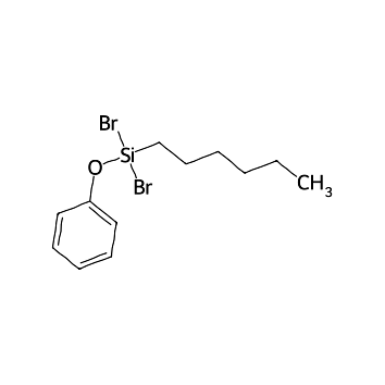 CCCCCC[Si](Br)(Br)Oc1ccccc1